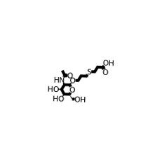 CC(=O)N[C@H]1[C@@H](OCCCSCCC(=O)O)O[C@H](CO)[C@H](O)[C@@H]1O